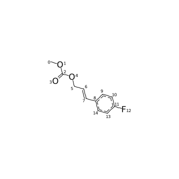 COC(=O)OCC=Cc1ccc(F)cc1